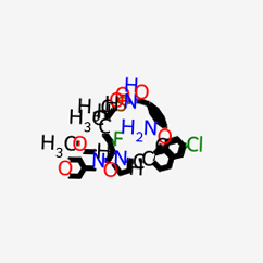 COCCN(CC1CCOCC1)C(=O)[C@H]1/C(F)=C/C[C@H](C)[C@@H](C)S(=O)(=O)NC(=O)c2ccc(c(N)c2)OC[C@]2(CCCc3cc(Cl)ccc32)CC[C@@H]2CCCN21